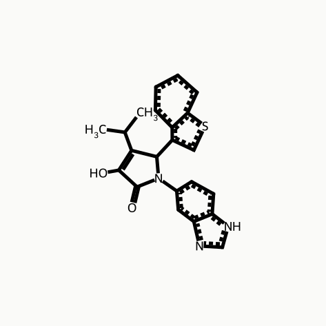 CC(C)C1=C(O)C(=O)N(c2ccc3[nH]cnc3c2)C1c1csc2ccccc12